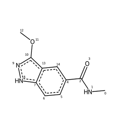 CNC(=O)c1ccc2[nH]nc(OC)c2c1